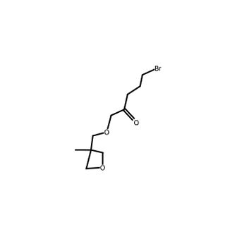 CC1(COCC(=O)CCCBr)COC1